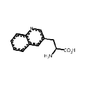 NC(Cc1cnc2ccccc2c1)C(=O)O